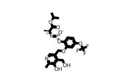 Cc1ncc(COc2cc(OC(F)(F)F)ccc2O[P+]([O-])=N[C@@H](C)C(=O)OC(C)C)c(CO)c1O